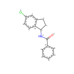 O=C(NC1CCc2cc(Cl)ccc21)c1ccccc1